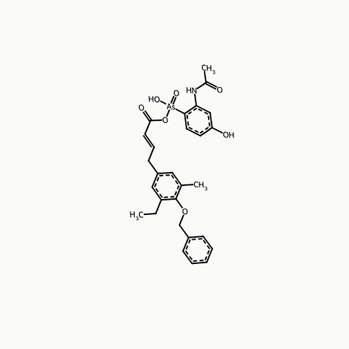 CCc1cc(CC=CC(=O)O[As](=O)(O)c2ccc(O)cc2NC(C)=O)cc(C)c1OCc1ccccc1